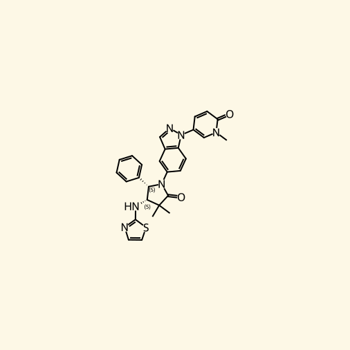 Cn1cc(-n2ncc3cc(N4C(=O)C(C)(C)[C@H](Nc5nccs5)[C@@H]4c4ccccc4)ccc32)ccc1=O